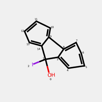 OC1(I)c2ccccc2-c2ccccc21